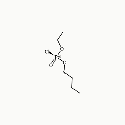 CCCSO[P@@](=O)(Cl)OCC